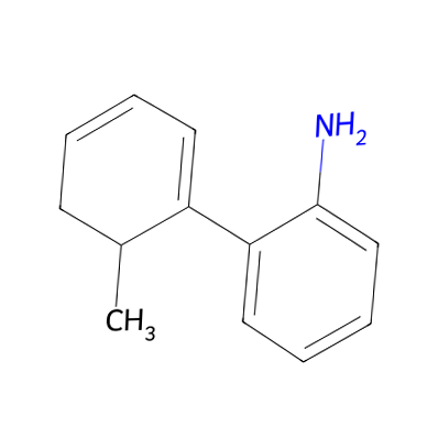 CC1CC=CC=C1c1ccccc1N